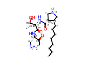 CCCCCCCC[C@@H]1CNC[C@H]1C(=O)N[C@H](C(=O)N[C@@H](CN)C(C)=O)[C@H](C)O